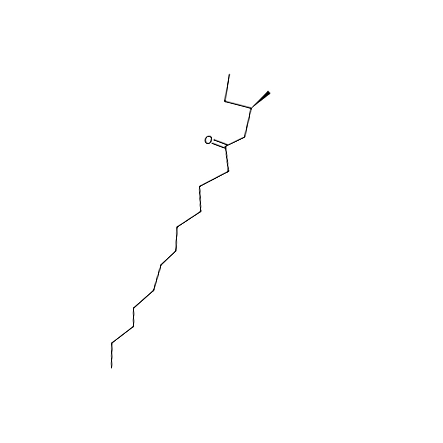 CCCCCCCCCCCC(=O)C[C@H](C)CC